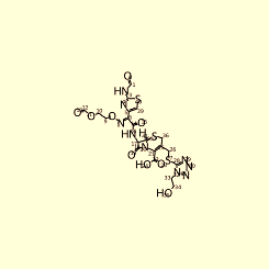 O=CNc1nc(C(=NOCCOC=O)C(=O)NC2C(=O)N3C(C(=O)O)=C(CSc4nnnn4CCO)CS[C@@H]23)cs1